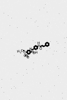 CCOc1cc2nc(-c3ccc(NC(=O)C=Cc4ccccc4)cc3)n(O)c2cc1[N+](=O)[O-]